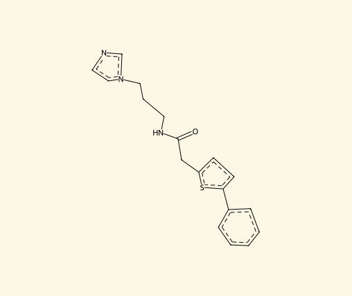 O=C(Cc1ccc(-c2ccccc2)s1)NCCCn1ccnc1